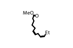 CC/C=C\C/C=C\CCCCC(=O)OC